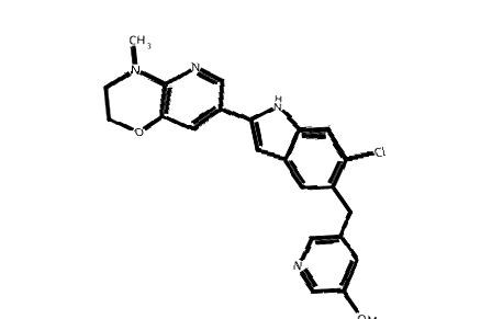 COc1cncc(Cc2cc3cc(-c4cnc5c(c4)OCCN5C)[nH]c3cc2Cl)c1